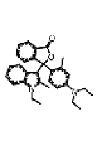 CCN(CC)c1ccc(C2(c3c(C)n(CC)c4ccccc34)OC(=O)c3ccccc32)c(C)c1